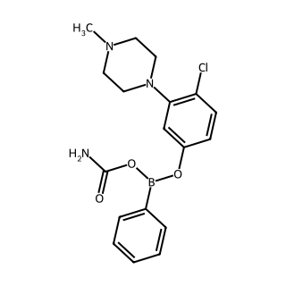 CN1CCN(c2cc(OB(OC(N)=O)c3ccccc3)ccc2Cl)CC1